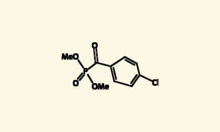 COP(=O)(OC)C(=O)c1ccc(Cl)cc1